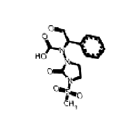 CS(=O)(=O)N1CCN(N(C(=O)O)C([C]=O)c2ccccc2)C1=O